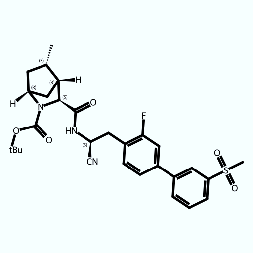 C[C@H]1C[C@@H]2C[C@H]1[C@@H](C(=O)N[C@H](C#N)Cc1ccc(-c3cccc(S(C)(=O)=O)c3)cc1F)N2C(=O)OC(C)(C)C